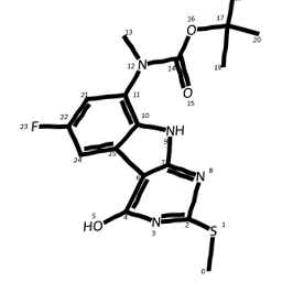 CSc1nc(O)c2c(n1)[nH]c1c(N(C)C(=O)OC(C)(C)C)cc(F)cc12